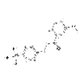 COc1cc(C(=O)CCc2ccc(C(F)(F)F)cc2)ccn1